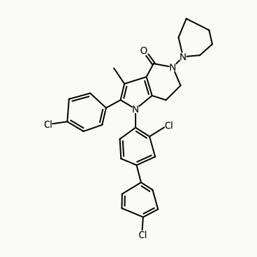 Cc1c2c(n(-c3ccc(-c4ccc(Cl)cc4)cc3Cl)c1-c1ccc(Cl)cc1)CCN(N1CCCCC1)C2=O